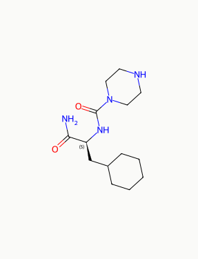 NC(=O)[C@H](CC1CCCCC1)NC(=O)N1CCNCC1